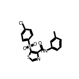 Cc1cccc(NC(=O)c2ncsc2S(=O)(=O)c2ccc(Cl)cc2)c1